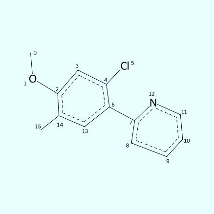 COc1cc(Cl)c(-c2ccccn2)cc1C